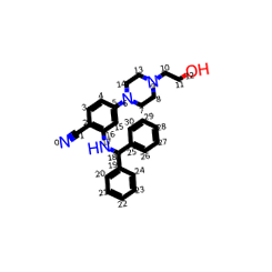 N#Cc1ccc(N2CCN(CCO)CC2)cc1NC(c1ccccc1)c1ccccc1